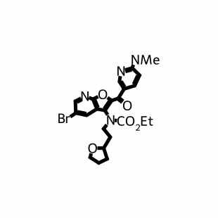 CCOC(=O)N(CCC1CCCO1)c1c(C(=O)c2ccc(NC)nc2)oc2ncc(Br)cc12